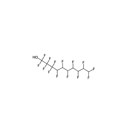 OC(F)(F)C(F)(F)C(F)(F)C(F)C(F)C(F)C(F)C(F)C(F)C(F)F